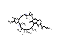 C=CCNC(=O)NC1=C2CC(C)CC(OC)C(O)C(C)/C=C(\C)C(OC(N)=O)C(OC)/C=C\C=C(/C)C(=O)NC(=CC1=O)C2=O